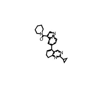 O=C(c1cnn2ccc(C3=CCCc4nc(C5CC5)ncc43)cc12)N1CCCCC1